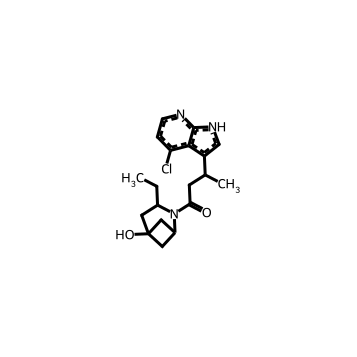 CCC1CC2(O)CC(C2)N1C(=O)CC(C)c1c[nH]c2nccc(Cl)c12